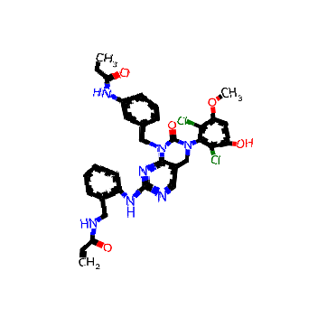 C=CC(=O)NCc1ccccc1Nc1ncc2c(n1)N(Cc1cccc(NC(=O)CC)c1)C(=O)N(c1c(Cl)c(O)cc(OC)c1Cl)C2